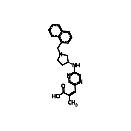 CC(=Cc1cnc(N[C@@H]2CCN(Cc3cccc4ccccc34)C2)cn1)C(=O)O